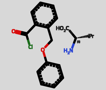 CC(C)[C@H](N)C(=O)O.O=C(Cl)c1ccccc1COc1ccccc1